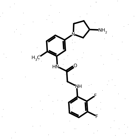 Cc1ccc(N2CCC(N)C2)cc1NC(=O)CNc1cccc(F)c1F